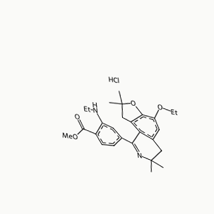 CCNc1cc(C2=NC(C)(C)Cc3cc(OCC)c4c(c32)CC(C)(C)O4)ccc1C(=O)OC.Cl